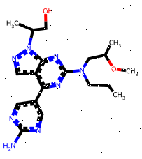 CCCN(CC(C)OC)c1nc(-c2cnc(N)nc2)c2cnn(C(C)CO)c2n1